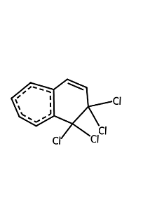 ClC1(Cl)C=Cc2ccccc2C1(Cl)Cl